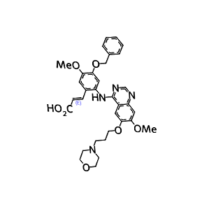 COc1cc2ncnc(Nc3cc(OCc4ccccc4)c(OC)cc3/C=C/C(=O)O)c2cc1OCCCN1CCOCC1